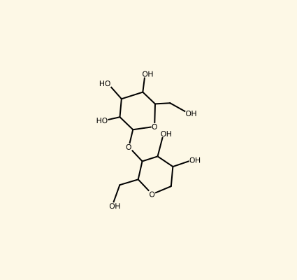 OCC1OC(OC2C(CO)OCC(O)C2O)C(O)C(O)C1O